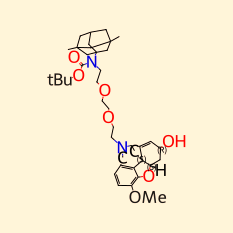 COc1ccc2c3c1O[C@H]1C[C@@H](O)C=C[C@@]31CCN(CCOCCOCCN(C(=O)OC(C)(C)C)C13CC4CC(C)(CC(C)(C4)C1)C3)C2